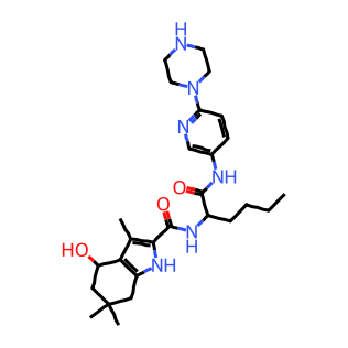 CCCCC(NC(=O)c1[nH]c2c(c1C)C(O)CC(C)(C)C2)C(=O)Nc1ccc(N2CCNCC2)nc1